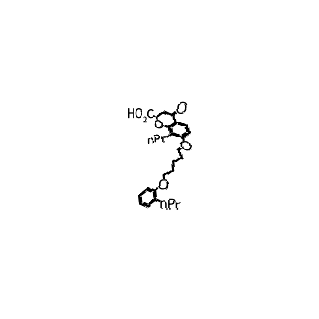 CCCc1ccccc1OCCCCCOc1ccc2c(c1CCC)OC(C(=O)O)CC2=O